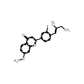 CC/C(C)=C/c1ccc(-c2cc(=O)c3ccc(OC)cc3o2)cc1F